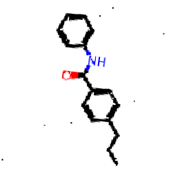 CCCc1ccc(C(=O)Nc2ccccc2)cc1